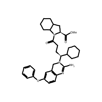 COC(=O)[C@@H]1CC2CCCCC2N1C(=O)CC[C@@H](C1CCCCC1)N1Cc2cc(Oc3ccccc3)ccc2N=C1N